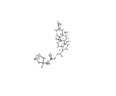 CC(CCC(=O)NC(C)(CO)CO)C1CC[C@H]2C3CC[C@@H]4C[C@H](O)CC[C@]4(C)[C@H]3CC[C@]12C